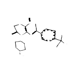 C=NC1=C(/N=C(\C)c2ccc(C(C)(C)O)nc2)N([C@H]2CC[C@H](OC)CC2)C(=O)CN1